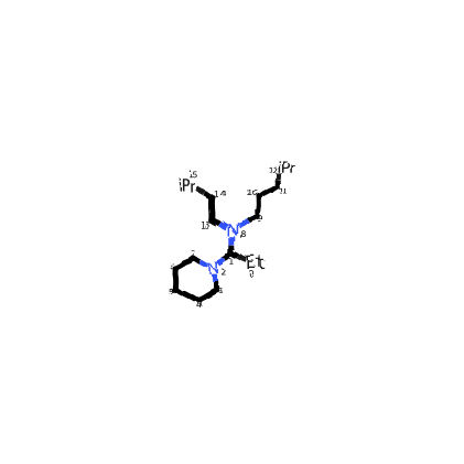 [CH2]CC(N1CCCCC1)N(CCCC(C)C)CCC(C)C